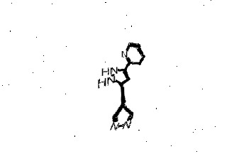 C1=CCC(C2=CC(=C3C=NN=C3)NN2)=NC1